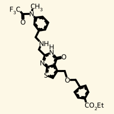 CCOC(=O)c1ccc(COCc2csc3nc(CNCc4cccc(N(C)C(=O)C(F)(F)F)c4)[nH]c(=O)c23)cc1